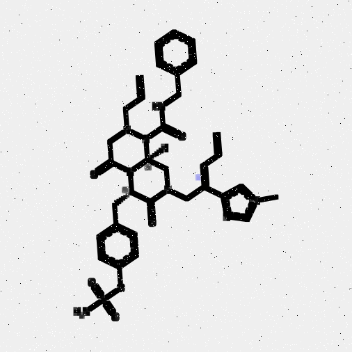 C=C/C=C(/CN1C[C@H]2N(C(=O)CN(CC=C)N2C(=O)NCc2ccccc2)[C@@H](Cc2ccc(OS(N)(=O)=O)cc2)C1=O)c1cn(C)cn1